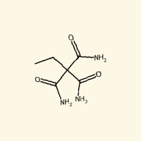 CCC(C(N)=O)(C(N)=O)C(N)=O